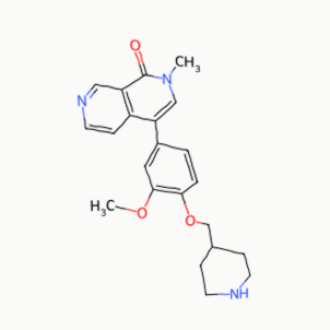 COc1cc(-c2cn(C)c(=O)c3cnccc23)ccc1OCC1CCNCC1